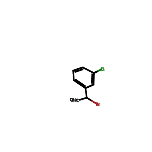 O=CC(Br)c1cccc(Cl)c1